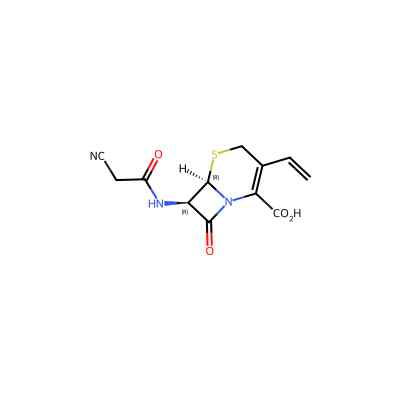 C=CC1=C(C(=O)O)N2C(=O)[C@@H](NC(=O)CC#N)[C@H]2SC1